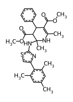 COC(=O)C1=C(C)NC(C)(Nc2nc(-c3c(C)cc(C)cc3C)cs2)C(C(=O)OC)C1c1ccccc1